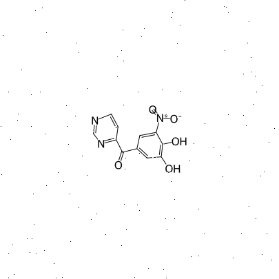 O=C(c1cc(O)c(O)c([N+](=O)[O-])c1)c1ccncn1